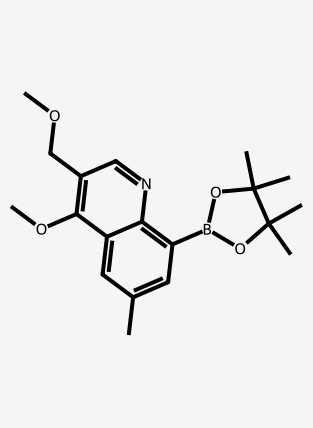 COCc1cnc2c(B3OC(C)(C)C(C)(C)O3)cc(C)cc2c1OC